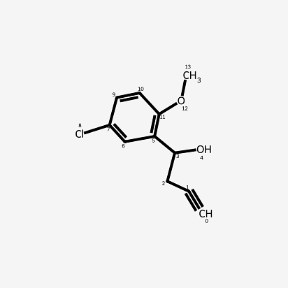 C#CCC(O)c1cc(Cl)ccc1OC